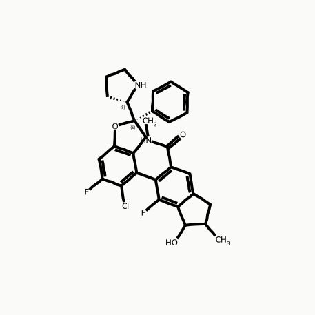 CNC(=O)c1cc2c(c(F)c1-c1c(Cl)c(F)cc3c1C[C@](c1ccccc1)([C@@H]1CCCN1)O3)C(O)C(C)C2